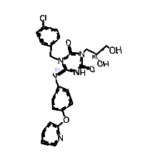 O=c1[nH]/c(=N\c2ccc(Oc3ccccn3)cc2)n(Cc2ccc(Cl)cc2)c(=O)n1C[C@@H](O)CO